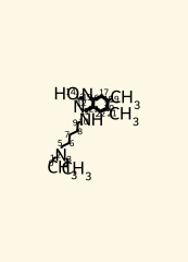 CCN(CC)CCCCCNc1nc(O)nc2cc(C)c(C)cc12